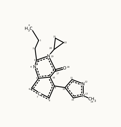 CCCc1nc2cccc(-c3cnn(C)c3)c2c(=O)n1C1CC1